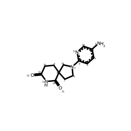 Nc1ccc(N2CCC3(CCC(=O)NC3=O)C2)nc1